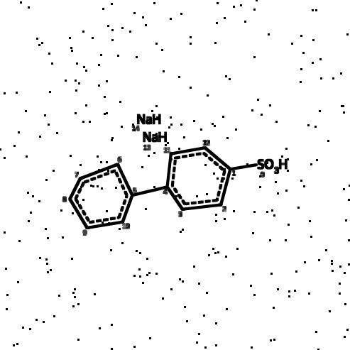 O=S(=O)(O)c1ccc(-c2ccccc2)cc1.[NaH].[NaH]